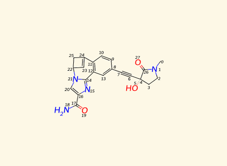 CN1CC[C@@](O)(C#Cc2ccc3c(c2)-c2nc(C(N)=O)cn2C2C=C3C2)C1=O